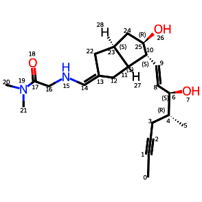 CC#CC[C@@H](C)[C@H](O)C=C[C@@H]1[C@H]2CC(=CNCC(=O)N(C)C)C[C@H]2C[C@H]1O